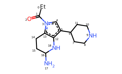 CCC(=O)n1cc(C2CCNCC2)c2c1CCC(N)N2